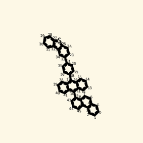 c1ccc2c(c1)ccc1c(-c3c4ccccc4c(-c4ccc(-c5ccc6sc7ccccc7c6c5)cc4)c4ccccc34)cccc12